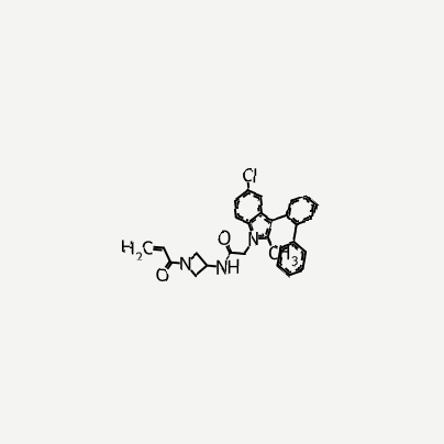 C=CC(=O)N1CC(NC(=O)Cn2c(C)c(-c3ccccc3-c3ccccc3)c3cc(Cl)ccc32)C1